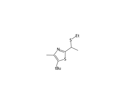 CCSC(C)c1nc(C)c(C(C)(C)C)s1